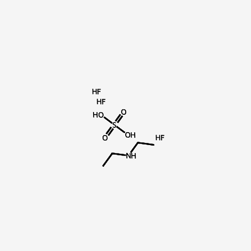 CCNCC.F.F.F.O=S(=O)(O)O